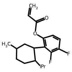 C=CC(=O)Oc1ccc(F)c(F)c1C1CC(C)CCC1C(C)C